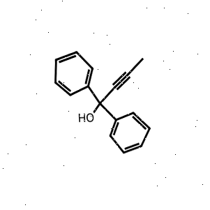 CC#CC(O)(c1ccccc1)c1ccccc1